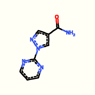 NC(=O)c1cnn(-c2ncccn2)c1